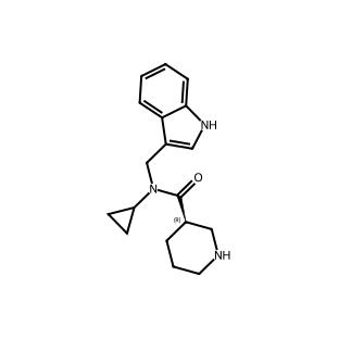 O=C([C@@H]1CCCNC1)N(Cc1c[nH]c2ccccc12)C1CC1